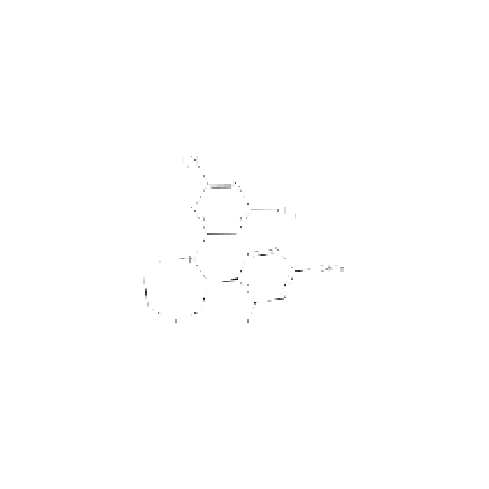 CSc1ccc([C@H]2COCCCN2c2cc(C)nc(N)n2)c(Cl)c1